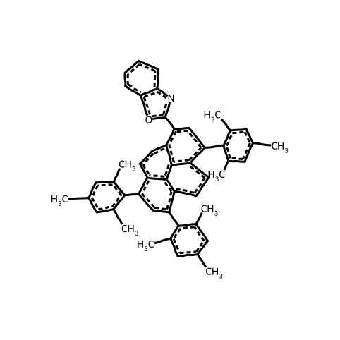 Cc1cc(C)c(-c2cc(-c3nc4ccccc4o3)c3ccc4c(-c5c(C)cc(C)cc5C)cc(-c5c(C)cc(C)cc5C)c5ccc2c3c45)c(C)c1